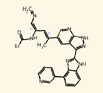 C=N/C=C(\C=C(/C)c1cnc2[nH]nc(-c3nc4c(-c5cccnc5)cccc4[nH]3)c2c1)NC(=O)CC